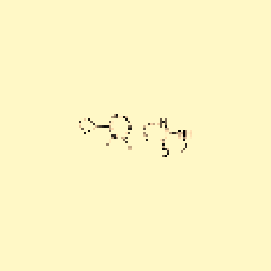 Cc1c(C2CCC2)ccc(-c2cnc3c(c2)OCCN3)c1F